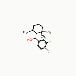 C[C@H]1CCCC(C)(C)[C@@H]1C(O)c1ccc(Cl)c(F)c1